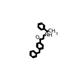 CC(NCCC(=O)c1ccc(Cc2ccccc2)cc1)c1ccccc1